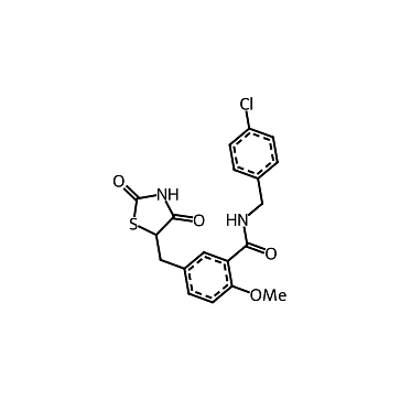 COc1ccc(CC2SC(=O)NC2=O)cc1C(=O)NCc1ccc(Cl)cc1